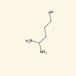 C[CH]CCCCC(N)N